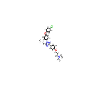 CCCCc1nc(-c2ccc(OCCCN(CC)CC)cc2)nn1-c1ccc(Oc2ccc(Cl)cc2)cc1